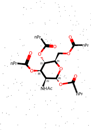 CCCC(=O)OC[C@H]1O[C@H](OC(=O)CCC)[C@@H](NC(C)=O)[C@@H](OC(=O)CCC)[C@@H]1OC(=O)CCC